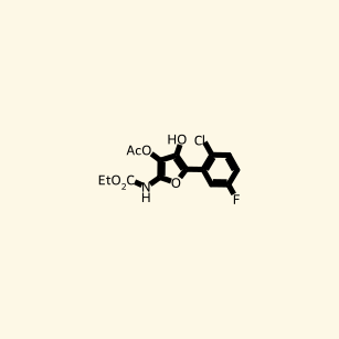 CCOC(=O)Nc1oc(-c2cc(F)ccc2Cl)c(O)c1OC(C)=O